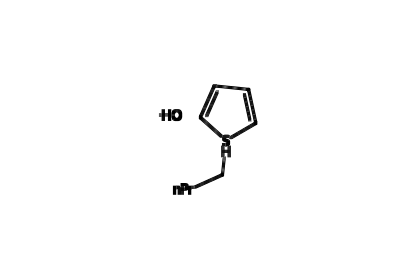 CCCC[SH]1C=CC=C1.[OH]